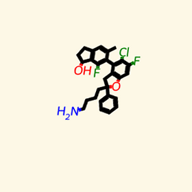 Cc1cc2c(c(F)c1-c1c(Cl)c(F)cc3c1CC(CCCCN)(c1ccccc1)O3)C(O)CC2